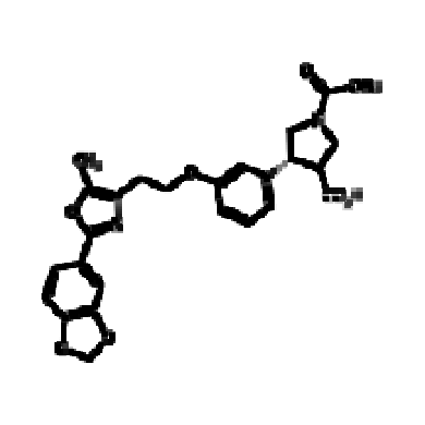 Cc1oc(-c2ccc3c(c2)OCO3)nc1CCOc1cccc([C@@H]2CN(C(=O)OCC(C)C)CC2C(=O)O)c1